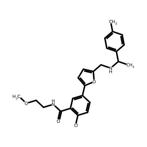 COCCNC(=O)c1cc(-c2ccc(CNC(C)c3ccc(C)cc3)o2)ccc1Cl